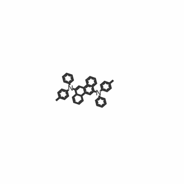 Cc1ccc(N(C2=Cc3c(cc(N(c4ccccc4)c4ccc(C)cc4)c4ccccc34)C3C=CC=CC23)c2ccccc2)cc1